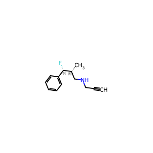 C#CCNC[C@@H](C)[C@@H](F)c1ccccc1